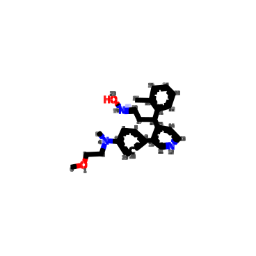 COCCN(C)c1ccc(-c2cnccc2C(C/C=N/O)c2ccccc2C)cc1